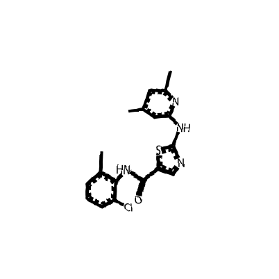 Cc1cc(C)nc(Nc2ncc(C(=O)Nc3c(C)cccc3Cl)s2)c1